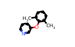 Cc1cccc(C)c1Oc1cccnc1